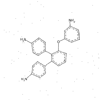 Nc1ccc(-c2cccc(Oc3cccc(N)c3)c2-c2ccc(N)cc2)cc1